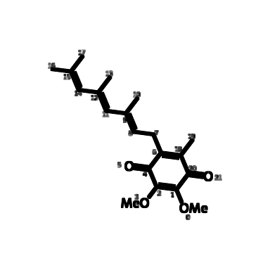 COC1=C(OC)C(=O)C(C/C=C(C)/C=C(\C)C=C(C)C)=C(C)C1=O